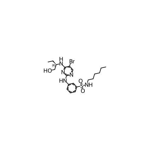 CCCCCCNS(=O)(=O)c1cccc(Nc2ncc(Br)c(N[C@H](CC)CO)n2)c1